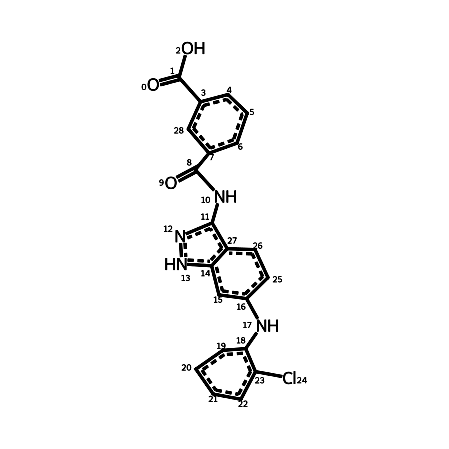 O=C(O)c1cccc(C(=O)Nc2n[nH]c3cc(Nc4ccccc4Cl)ccc23)c1